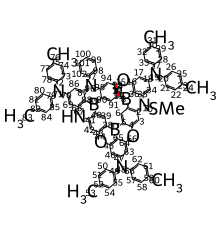 CSN1c2cc3c(cc2B2c4ccccc4Oc4cc(N(c5ccc(C)cc5)c5ccc(C)cc5)cc1c42)B1c2cc4c(cc2Oc2cc(N(c5ccc(C)cc5)c5ccc(C)cc5)cc(c21)O3)Nc1cc(N(c2ccc(C)cc2)c2ccc(C)cc2)cc2c1B4c1ccccc1N2c1ccccc1